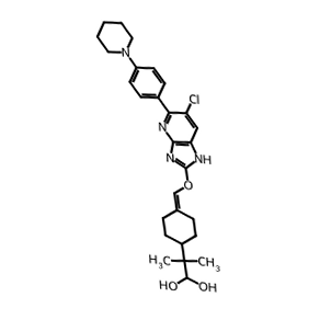 CC(C)(C(O)O)C1CCC(=COc2nc3nc(-c4ccc(N5CCCCC5)cc4)c(Cl)cc3[nH]2)CC1